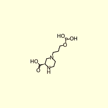 O=C(O)[C@H]1CN(CCCOP(O)O)CCN1